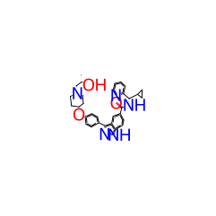 C[C@H](O)CN1CCC(Oc2ccc(-c3n[nH]c4ccc(C(=O)N[C@H](c5ccccn5)C5CC5)cc34)cc2)CC1